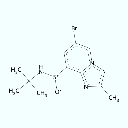 Cc1cn2cc(Br)cc([S+]([O-])NC(C)(C)C)c2n1